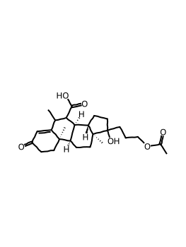 CC(=O)OCCCC1(O)CC[C@H]2[C@@H]3C(C(=O)O)C(C)C4=CC(=O)CC[C@]4(C)[C@@H]3CC[C@@]21C